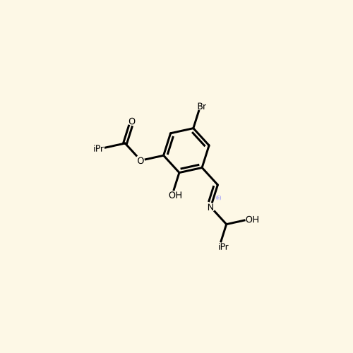 CC(C)C(=O)Oc1cc(Br)cc(/C=N/C(O)C(C)C)c1O